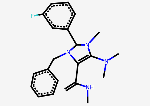 C=C(NC)C1=C(N(C)C)N(C)C(c2cccc(F)c2)N1Cc1ccccc1